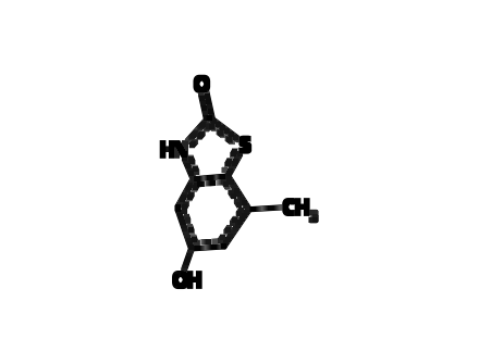 Cc1cc(O)cc2[nH]c(=O)sc12